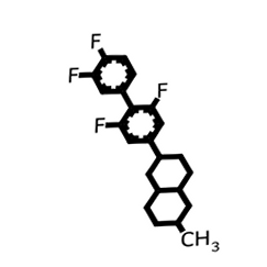 CC1CCC2CC(c3cc(F)c(-c4ccc(F)c(F)c4)c(F)c3)CCC2C1